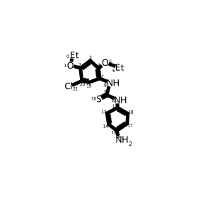 CCOc1cc(OCC)c(NC(=S)Nc2ccc(N)cc2)cc1Cl